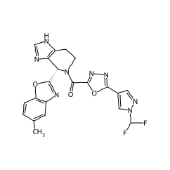 Cc1ccc2oc([C@@H]3c4nc[nH]c4CCN3C(=O)c3nnc(-c4cnn(C(F)F)c4)o3)nc2c1